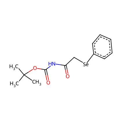 CC(C)(C)OC(=O)NC(=O)C[Se]c1ccccc1